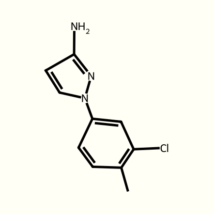 Cc1ccc(-n2ccc(N)n2)cc1Cl